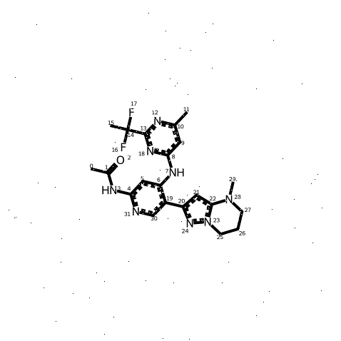 CC(=O)Nc1cc(Nc2cc(C)nc(C(C)(F)F)n2)c(-c2cc3n(n2)CCCN3C)cn1